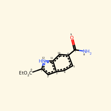 CCOC(=O)c1cc2ccc(C(N)=O)cc2[nH]1